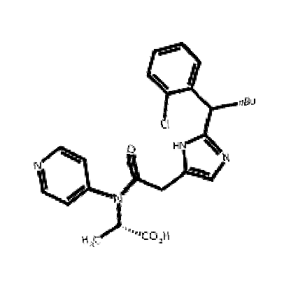 CCCCC(c1ncc(CC(=O)N(c2ccncc2)[C@@H](C)C(=O)O)[nH]1)c1ccccc1Cl